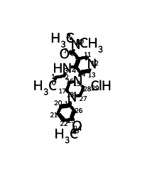 CCCNc1c(C(=O)N(C)C)cncc1N1CCN(c2cccc(OC)c2)CC1.Cl